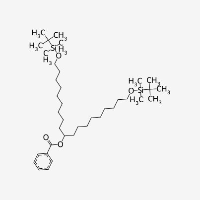 CC(C)(C)[Si](C)(C)OCCCCCCCCCC(CCCCCCCCCO[Si](C)(C)C(C)(C)C)OC(=O)c1ccccc1